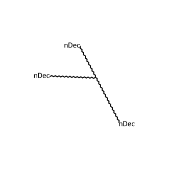 CCCCCCCCCCCCCCCCCCCCCCCCCCCCCCCCCCCCCCC(CCCCCCCCCCCCCCCCCCCCCCCCCCCCC)CCCCCCCCCCCCCCCCCCCCCCCCCCCCCCCCCCC